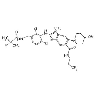 Cn1c(Nc2c(Cl)ccc(CNC(=O)C(C)(C)F)c2Cl)nc2cc(C(=O)NCCC(F)(F)F)c(N3CCC(O)CC3)cc21